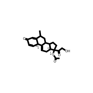 CC(=O)OC1(C(=O)CO)CCC2C3CC(C)C4=CC(=O)C=C[C@]4(C)C3=CC[C@@]21C